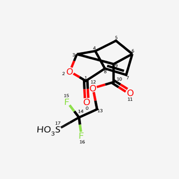 O=C1OC2C3CC(C=C13)C2C(=O)OCC(F)(F)S(=O)(=O)O